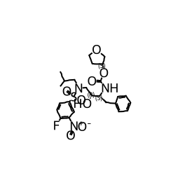 CC(C)CN(C[C@@H](O)[C@H](Cc1ccccc1)NC(=O)O[C@H]1CCOC1)S(=O)(=O)c1ccc(F)c([N+](=O)[O-])c1